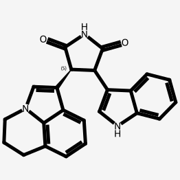 O=C1NC(=O)[C@H](c2cn3c4c(cccc24)CCC3)C1c1c[nH]c2ccccc12